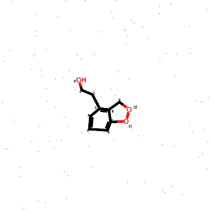 OCCc1cccc2c1COO2